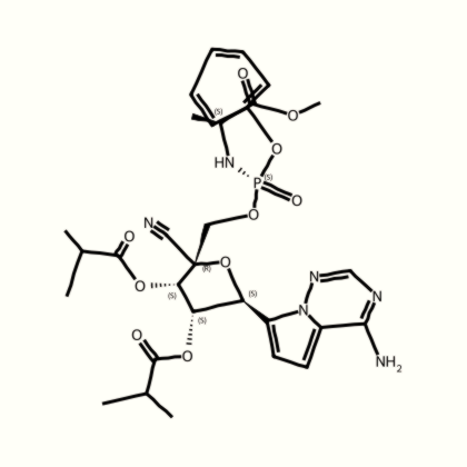 COC(=O)[C@H](C)N[P@](=O)(OC[C@@]1(C#N)O[C@@H](c2ccc3c(N)ncnn23)[C@H](OC(=O)C(C)C)[C@@H]1OC(=O)C(C)C)Oc1ccccc1